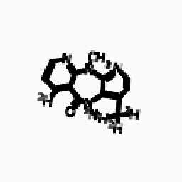 [2H]c1ccnc2c1C(=O)N([2H])c1c(C([2H])([2H])[2H])ccnc1N2C